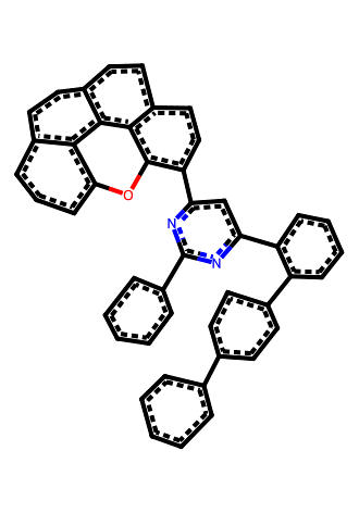 c1ccc(-c2ccc(-c3ccccc3-c3cc(-c4ccc5ccc6ccc7cccc8c7c6c5c4O8)nc(-c4ccccc4)n3)cc2)cc1